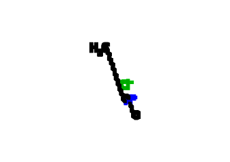 CCCCCCCCCCCCCCCCCC=Cc1cc[n+](CCCCc2ccccc2)cc1.[Cl-]